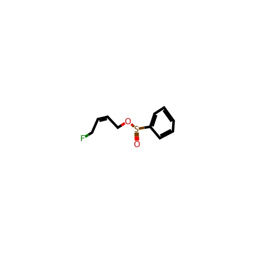 O=S(OC/C=C\CF)c1ccccc1